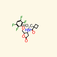 O=C1CC(NC(=O)C2(C(=O)O)CCC2)C(COc2c(F)c(F)cc(F)c2F)O1